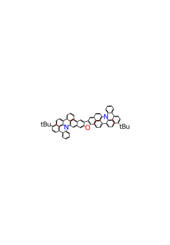 CC(C)(C)c1ccc(-c2ccccc2N(c2ccc3cc4c(cc3c2)oc2cc3cc(N(c5ccccc5-c5ccccc5)c5ccccc5-c5ccc(C(C)(C)C)cc5)ccc3cc24)c2ccccc2-c2ccccc2)cc1